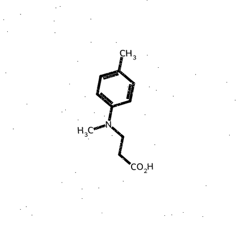 Cc1ccc(N(C)CCC(=O)O)cc1